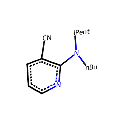 CCCCN(c1ncccc1C#N)C(C)CCC